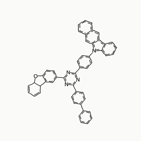 C1=CC2Oc3ccc(-c4nc(-c5ccc(-c6ccccc6)cc5)nc(-c5ccc(-n6c7ccccc7c7cc8ccccc8cc76)cc5)n4)cc3C2C=C1